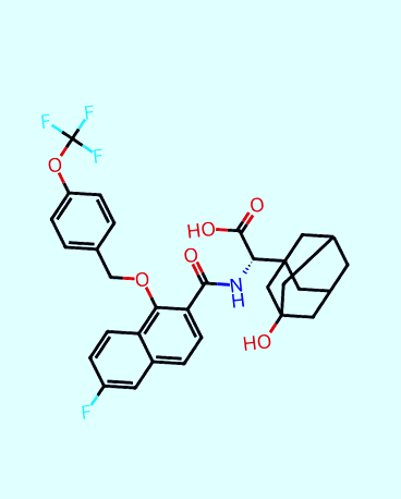 O=C(N[C@H](C(=O)O)C12CC3CC(CC(O)(C3)C1)C2)c1ccc2cc(F)ccc2c1OCc1ccc(OC(F)(F)F)cc1